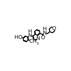 Cc1ccc(O)cc1Nc1ccnc2c(C(=O)NCC3CCOCC3)cccc12